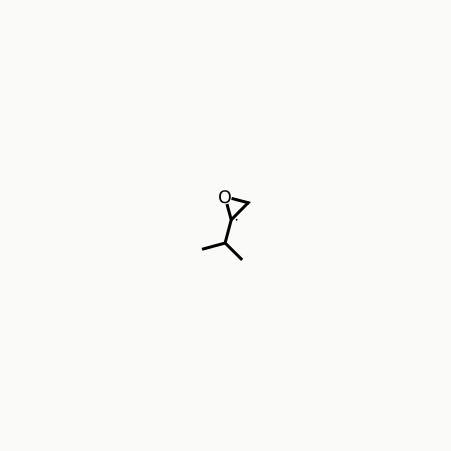 CC(C)[C]1CO1